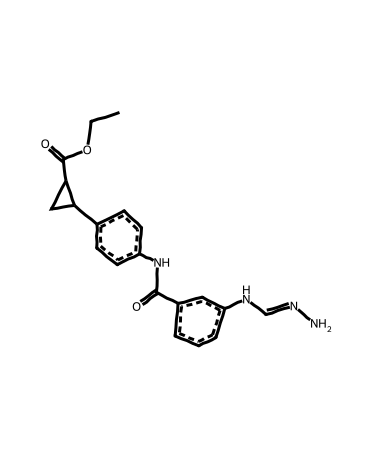 CCOC(=O)C1CC1c1ccc(NC(=O)c2cccc(NC=NN)c2)cc1